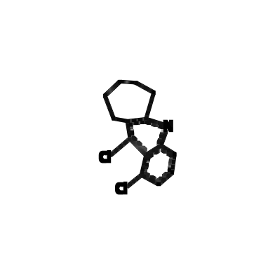 Clc1cccc2nc3c(c(Cl)c12)CCCCC3